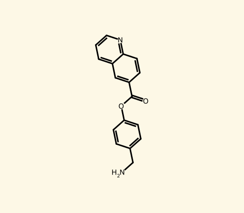 NCc1ccc(OC(=O)c2ccc3ncccc3c2)cc1